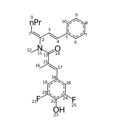 CCC/C=C(\C=C\c1ccccc1)N(C)C(=O)/C(C)=C/c1cc(F)c(O)c(F)c1